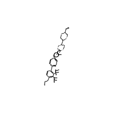 C=CC1CCC(C2CCC(COc3ccc(-c4ccc(CCC)c(F)c4F)cc3)CC2)CC1